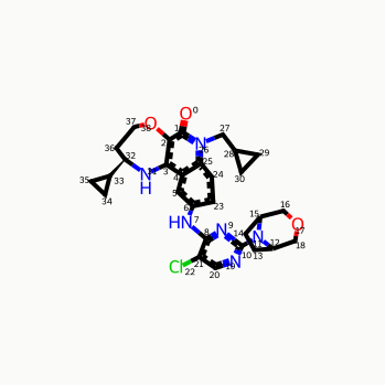 O=c1c2c(c3cc(Nc4nc(N5C6CCC5COC6)ncc4Cl)ccc3n1CC1CC1)N[C@@H](C1CC1)CCO2